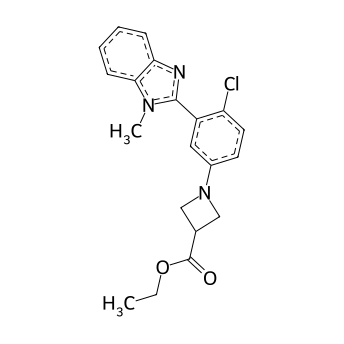 CCOC(=O)C1CN(c2ccc(Cl)c(-c3nc4ccccc4n3C)c2)C1